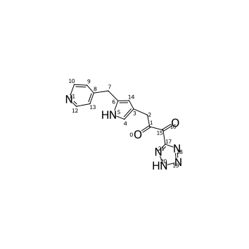 O=C(Cc1c[nH]c(Cc2ccncc2)c1)C(=O)c1nn[nH]n1